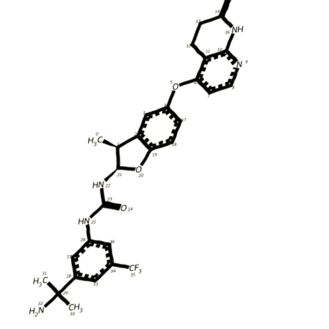 C[C@H]1c2cc(Oc3ccnc4c3CCC(=O)N4)ccc2O[C@H]1NC(=O)Nc1cc(C(C)(C)N)cc(C(F)(F)F)c1